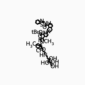 Cc1c(-c2ccc(N3CCc4cccc(C(=O)Nc5nc6ccccc6s5)c4C3)nc2C(=O)OC(C)(C)C)cnn1CC12CC3(C)CC(C)(C1)CC(OCCNCC[C@@H](O)[C@H](O)[C@H](O)CO)(C3)C2